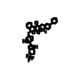 COC(=O)N(C(=O)[C@@H](N)Cc1cccc(-c2ccccc2)c1)c1ccccc1CC[C@@H]1CN[C@H](c2cc3cc(C(F)(F)F)ccc3[nH]2)CO1